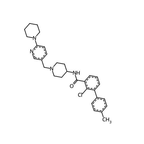 Cc1ccc(-c2cccc(C(=O)NC3CCN(Cc4ccc(N5CCCCC5)nc4)CC3)c2Cl)cc1